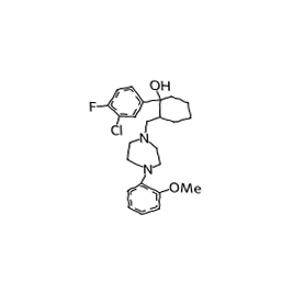 COc1ccccc1N1CCN(CC2CCCCC2(O)c2ccc(F)c(Cl)c2)CC1